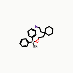 CC(C)(C)[Si](OCCC1(CCI)CCCCC1)(c1ccccc1)c1ccccc1